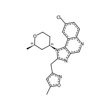 Cc1cc(Cc2nc3cnc4ccc(Cl)cc4c3n2[C@@H]2CCO[C@H](C)C2)no1